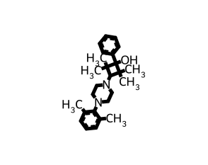 Cc1cccc(C)c1N1CCN(C2C(C)(C)C(O)(c3ccccc3)C2(C)C)CC1